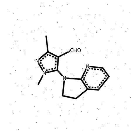 Cc1nn(C)c(N2CCc3cccnc32)c1C=O